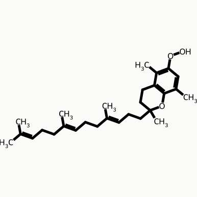 CC(C)=CCC/C(C)=C/CC/C(C)=C/CCC1(C)CCc2c(C)c(OO)cc(C)c2O1